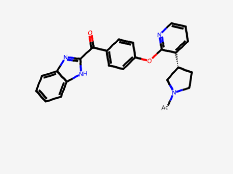 CC(=O)N1CC[C@@H](c2cccnc2Oc2ccc(C(=O)c3nc4ccccc4[nH]3)cc2)C1